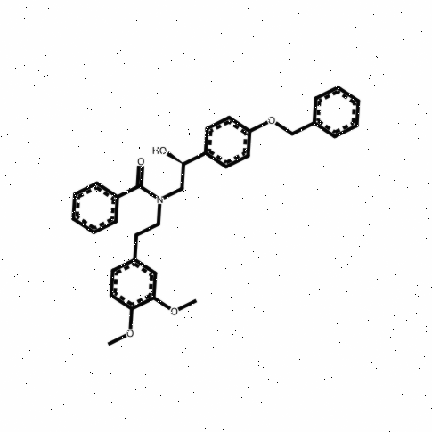 COc1ccc(CCN(C[C@@H](O)c2ccc(OCc3ccccc3)cc2)C(=O)c2ccccc2)cc1OC